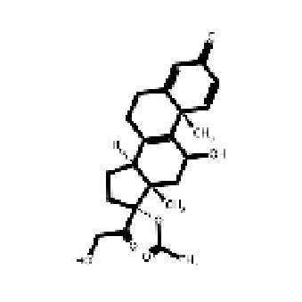 CC(=O)O[C@]1(C(=O)CO)CC[C@H]2C3=C(C(O)C[C@@]21C)[C@@]1(C)C=CC(=O)C=C1CC3